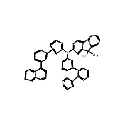 CC1(C)c2ccccc2-c2ccc(N(c3cccc(-c4cccc(-c5cccc6ccccc56)c4)c3)c3cccc(-c4ccccc4-c4ccccc4)c3)cc21